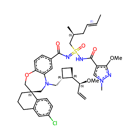 C=C[C@H](OC)[C@@H]1CC[C@H]1CN1C[C@@]2(CCCc3cc(Cl)ccc32)COc2ccc(C(=O)N=S(=O)(C[C@@H](C)C/C=C/C)NC(=O)c3cn(C)nc3OC)cc21